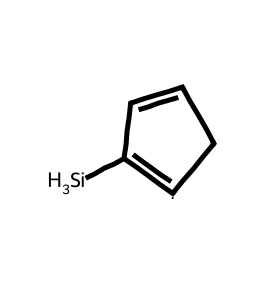 [SiH3]C1=[C]CC=C1